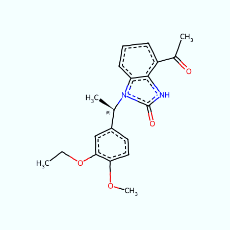 CCOc1cc([C@@H](C)n2c(=O)[nH]c3c(C(C)=O)cccc32)ccc1OC